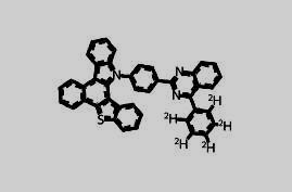 [2H]c1c([2H])c([2H])c(-c2nc(-c3ccc(-n4c5ccccc5c5c6ccccc6c6sc7ccccc7c6c54)cc3)nc3ccccc23)c([2H])c1[2H]